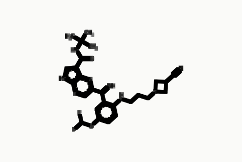 CC(C)(C)NC(=O)c1c[nH]c2ncc(C(=N)c3cc(OC(F)F)ccc3NCCCN3CC(C#N)C3)nc12